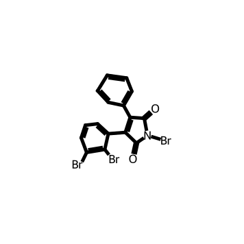 O=C1C(c2ccccc2)=C(c2cccc(Br)c2Br)C(=O)N1Br